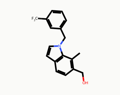 Cc1c(CO)ccc2ccn(Cc3cccc(C(F)(F)F)c3)c12